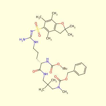 Cc1c(C)c(S(=O)(=O)/N=C(/N)NCCC[C@H](NC(=O)OC(C)(C)C)C(=O)NCC(C)(C)CN(C)C(=O)OCc2ccccc2)c(C)c2c1OC(C)(C)C2